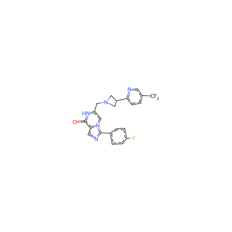 O=c1[nH]c(CN2CC(c3ccc(C(F)(F)F)cn3)C2)cn2c(-c3ccc(F)cc3)ncc12